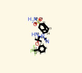 CC(C)(Oc1ccccc1C(F)(F)F)C(=N)N(C#N)C1C2CC3CC1CC(S(N)(=O)=O)(C3)C2